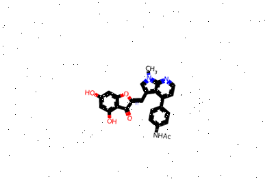 CC(=O)Nc1ccc(-c2ccnc3c2c(/C=C2\Oc4cc(O)cc(O)c4C2=O)cn3C)cc1